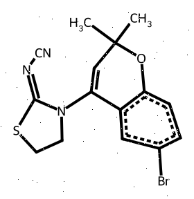 CC1(C)C=C(N2CCS/C2=N/C#N)c2cc(Br)ccc2O1